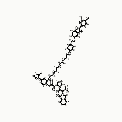 Cc1ncsc1-c1ccc(CNC(=O)[C@@H]2CCCN2C(=O)C(C(C)C)N2Cc3ccccc3C2=O)c(OCCOCCOCCOCCOc2ccc(COc3ccc4oc(-c5ccc(=O)n(C)n5)nc4c3)nc2)c1